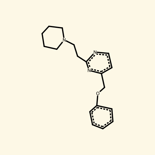 c1ccc(OCc2ccnc(CCN3CCCCC3)n2)cc1